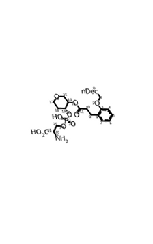 CCCCCCCCCCCOc1ccccc1CCC(=O)O[C@@H]1COCC[C@H]1OP(=O)(O)OC[C@H](N)C(=O)O